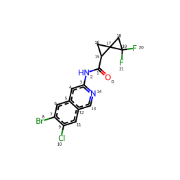 O=C(Nc1cc2cc(Br)c(Cl)cc2cn1)C1CC12CC2(F)F